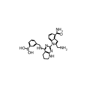 NCc1cc2c(C(N)=O)cccc2n1-c1nc2c(c(NCc3cccc(B(O)O)c3)n1)CCCN2